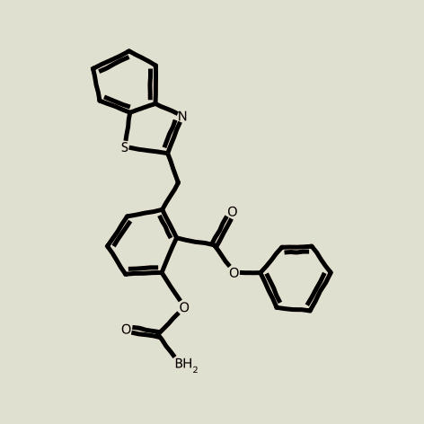 BC(=O)Oc1cccc(Cc2nc3ccccc3s2)c1C(=O)Oc1ccccc1